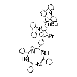 CCCCC(C)(Oc1c(C)cccc1-n1c2ccccc2c2ccccc21)c1cc(C)c(OC(CCC)c2ccc(-c3c4nc(c(-c5ccccc5)c5ccc([nH]5)c(-c5ccccc5)c5nc(c(-c6ccccc6)c6ccc3[nH]6)C=C5)C=C4)cc2)c(-n2c3ccccc3c3ccccc32)c1